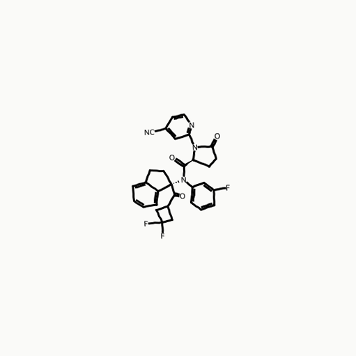 N#Cc1ccnc(N2C(=O)CC[C@H]2C(=O)N(c2cccc(F)c2)[C@@]2(C(=O)C3CC(F)(F)C3)CCc3ccccc32)c1